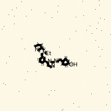 CCN(Cc1cccnc1)Cc1cccc(-c2ccnc(NCCc3ccc(O)cc3)n2)c1